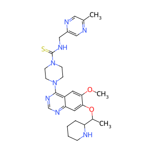 COc1cc2c(N3CCN(C(=S)NCc4cnc(C)cn4)CC3)ncnc2cc1OC(C)C1CCCCN1